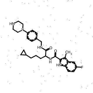 Cc1c(C(=O)NC(CCCC2CC2)C(=O)NCc2ccc(N3CCNCC3)cc2)[nH]c2ccc(F)cc12